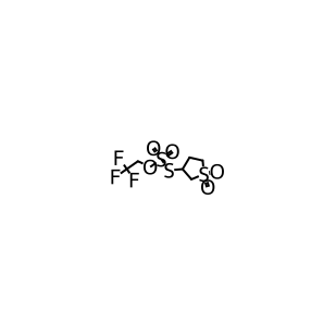 O=S1(=O)CCC(SS(=O)(=O)OCC(F)(F)F)C1